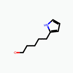 [O]CCCCCc1ccc[nH]1